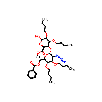 CCCCOC1[C@@H](OCCCC)[C@H](O[C@H]2OC(COC(=O)c3ccccc3)[C@@H](OCCCC)[C@H](OCCCC)C2N=[N+]=[N-])C(C(=O)OC)O[C@@H]1O